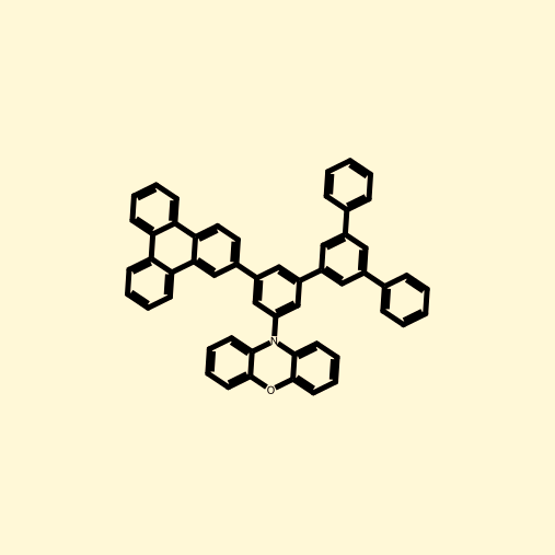 c1ccc(-c2cc(-c3ccccc3)cc(-c3cc(-c4ccc5c6ccccc6c6ccccc6c5c4)cc(N4c5ccccc5Oc5ccccc54)c3)c2)cc1